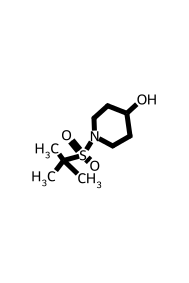 CC(C)(C)S(=O)(=O)N1CCC(O)CC1